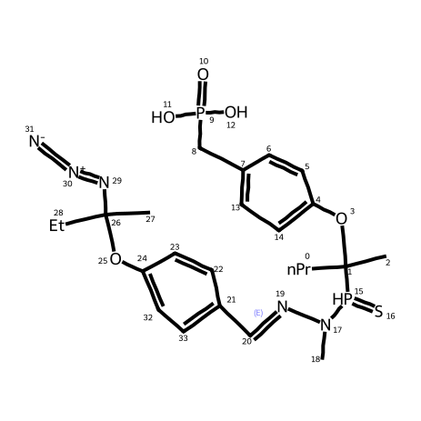 CCCC(C)(Oc1ccc(CP(=O)(O)O)cc1)[PH](=S)N(C)/N=C/c1ccc(OC(C)(CC)N=[N+]=[N-])cc1